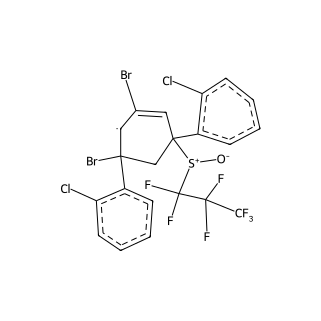 [O-][S+](C1(c2ccccc2Cl)C=C(Br)[CH]C(Br)(c2ccccc2Cl)C1)C(F)(F)C(F)(F)C(F)(F)F